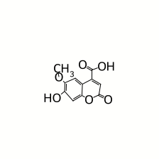 COc1cc2c(C(=O)O)cc(=O)oc2cc1O